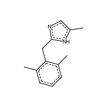 Cc1cnc(Cc2c(C)cccc2C)[nH]1